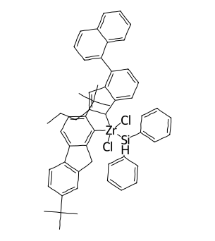 CCCC1=Cc2c(-c3cccc4ccccc34)cccc2[CH]1[Zr]([Cl])([Cl])([c]1c(C(C)(C)C)ccc2c1Cc1cc(C(C)(C)C)ccc1-2)[SiH](c1ccccc1)c1ccccc1